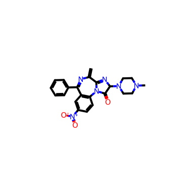 C=C1N=C(c2ccccc2)c2cc([N+](=O)[O-])ccc2N2C(=O)C(N3CCN(C)CC3)N=C12